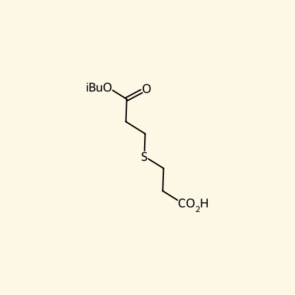 CC(C)COC(=O)CCSCCC(=O)O